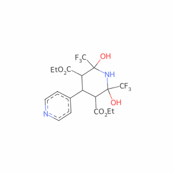 CCOC(=O)C1C(c2ccncc2)C(C(=O)OCC)C(O)(C(F)(F)F)NC1(O)C(F)(F)F